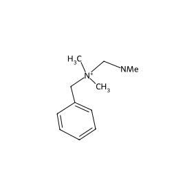 CNC[N+](C)(C)Cc1ccccc1